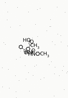 Cc1ccc(NC(=O)Nc2cc(C(C)CC(=O)O)cc3c2OC[C@H]3c2ccccc2)cc1